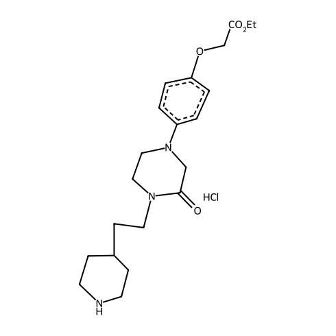 CCOC(=O)COc1ccc(N2CCN(CCC3CCNCC3)C(=O)C2)cc1.Cl